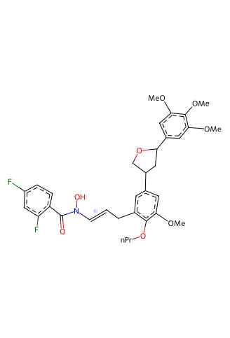 CCCOc1c(C/C=C/N(O)C(=O)c2ccc(F)cc2F)cc(C2COC(c3cc(OC)c(OC)c(OC)c3)C2)cc1OC